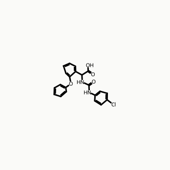 O=C(Nc1ccc(Cl)cc1)NC(C(=O)O)c1ccccc1Oc1ccccc1